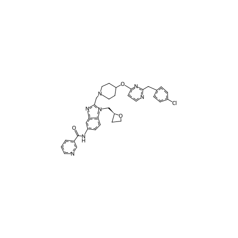 O=C(Nc1ccc2c(c1)nc(CN1CCC(Oc3ccnc(Cc4ccc(Cl)cc4)n3)CC1)n2C[C@@H]1CCO1)c1cccnc1